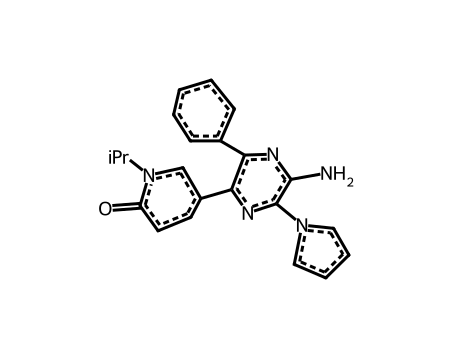 CC(C)n1cc(-c2nc(-n3cccc3)c(N)nc2-c2ccccc2)ccc1=O